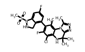 Cc1c(-c2cc(F)cc3c2CNN3S(C)(=O)=O)c(F)c(Cl)c2c1-n1c(C)nnc1C(C)(C)N2